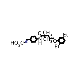 CCc1ccc(CC)c(OCCCC(C)(C)C(=O)Nc2ccc(/C=C/C(=O)O)cc2)c1